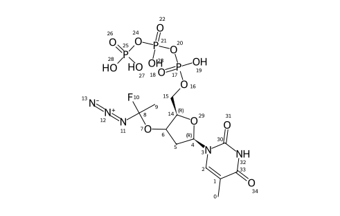 Cc1cn([C@H]2CC(OC(C)(F)N=[N+]=[N-])[C@@H](COP(=O)(O)OP(=O)(O)OP(=O)(O)O)O2)c(=O)[nH]c1=O